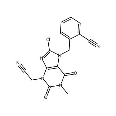 Cn1c(=O)c2c(nc(Cl)n2Cc2ccccc2C#N)n(CC#N)c1=O